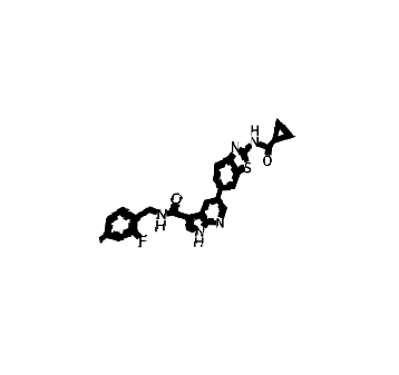 Cc1ccc(CNC(=O)c2c[nH]c3ncc(-c4ccc5nc(NC(=O)C6CC6)sc5c4)cc23)c(F)c1